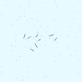 Nc1c(-c2ccco2)c(-c2ccco2)cn1Cc1ccco1